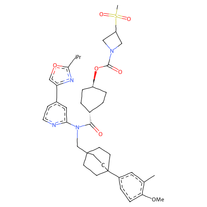 COc1ccc(C23CCC(CN(c4cc(-c5coc(C(C)C)n5)ccn4)C(=O)[C@H]4CC[C@H](OC(=O)N5CC(S(C)(=O)=O)C5)CC4)(CC2)CC3)cc1C